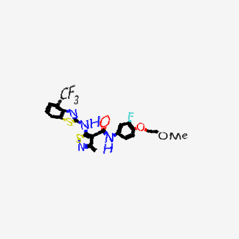 COCCOc1ccc(NC(=O)c2c(C)nsc2Nc2nc3c(C(F)(F)F)cccc3s2)cc1F